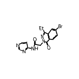 CCc1nn(CC(=O)Nc2ccncn2)c(=O)c2ccc(Br)cc12